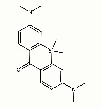 CN(C)c1ccc2c(c1)[Si](C)(C)c1cc(N(C)C)ccc1C2=O